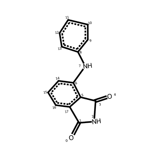 O=C1NC(=O)c2c(Nc3ccccc3)cccc21